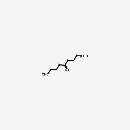 O=CCCCC(=O)CCCC=O